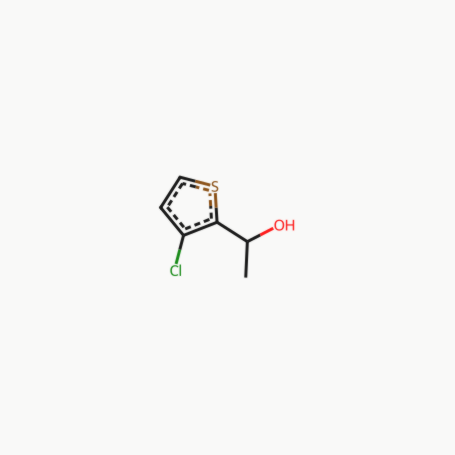 CC(O)c1sccc1Cl